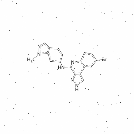 Cn1ncc2ccc(Nc3nc4ccc(Br)cc4c4c[nH]nc34)cc21